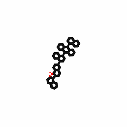 c1ccc2c(-c3c4ccccc4c(-c4ccc(-c5ccc6c(ccc7c6oc6ccc8ccccc8c67)c5)c5ccccc45)c4ccccc34)cccc2c1